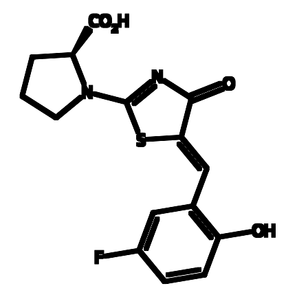 O=C1N=C(N2CCC[C@H]2C(=O)O)S/C1=C\c1cc(F)ccc1O